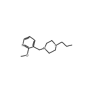 CCCN1CCN(Cc2cccnc2OC)CC1